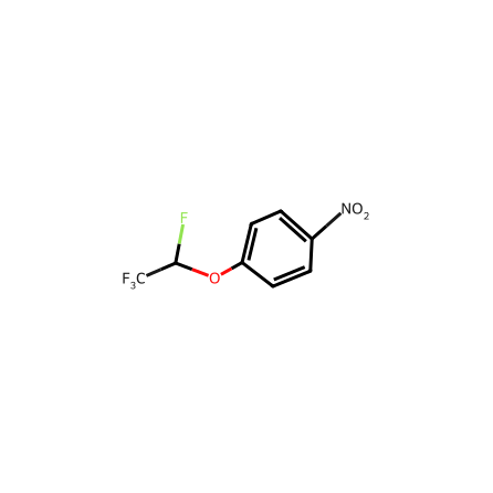 O=[N+]([O-])c1ccc(OC(F)C(F)(F)F)cc1